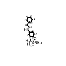 CC(C)(C)[Si](C)(C)Oc1ccc(NCCc2ccccc2)cc1